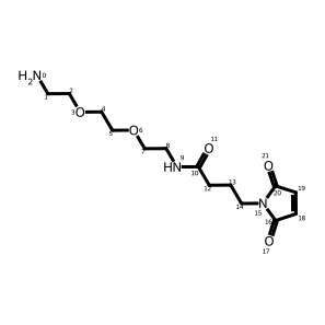 NCCOCCOCCNC(=O)CCCN1C(=O)C=CC1=O